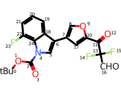 CC(C)(C)OC(=O)n1cc(-c2coc(C(=O)C(F)(F)C=O)c2)c2cccc(F)c21